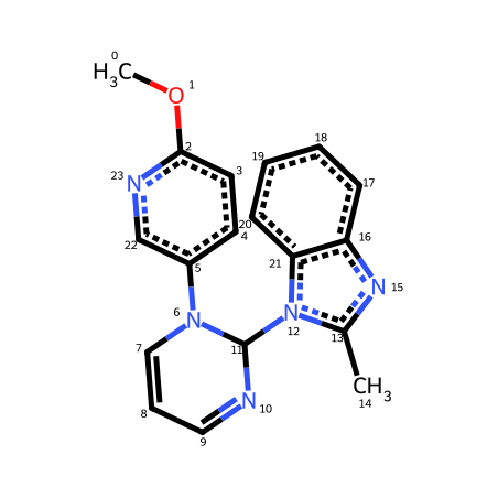 COc1ccc(N2C=CC=NC2n2c(C)nc3ccccc32)cn1